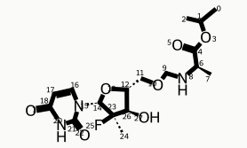 CC(C)OC(=O)[C@@H](C)NCOC[C@H]1O[C@@H](n2ccc(=O)[nH]c2=O)[C@](C)(F)[C@@H]1O